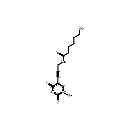 CCCCCCCCCCCCCCCC(=O)NCC#Cc1cn(C(C)(C)C)c(=O)[nH]c1=O